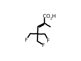 C/C(=C\C(CF)(CF)CF)C(=O)O